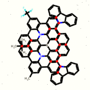 Cc1cc(-c2ccccc2)c(N2c3cc(-n4c5ccccc5c5ccccc54)cc(-c4ccccc4)c3B3c4c(-c5ccccc5)cc(-n5c6ccccc6c6ccccc65)cc4N(c4c(-c5ccccc5)cc(C(F)(F)F)cc4-c4ccccc4)c4cc(C(C)(C)C)cc2c43)c(-c2ccccc2)c1